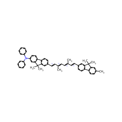 CC(/C=C/c1ccc2c(c1)C(C)(C)c1cc(C)ccc1-2)=C\C=C(C)\C=C\c1ccc2c(c1)C(C)(C)c1cc(N(c3ccccc3)c3ccccc3)ccc1-2